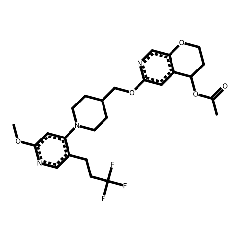 COc1cc(N2CCC(COc3cc4c(cn3)OCCC4OC(C)=O)CC2)c(CCC(F)(F)F)cn1